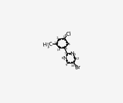 Cc1cc(Cl)cc(-c2ncc(Br)cn2)c1